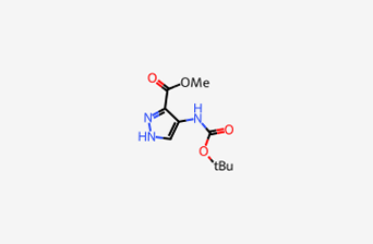 COC(=O)c1n[nH]cc1NC(=O)OC(C)(C)C